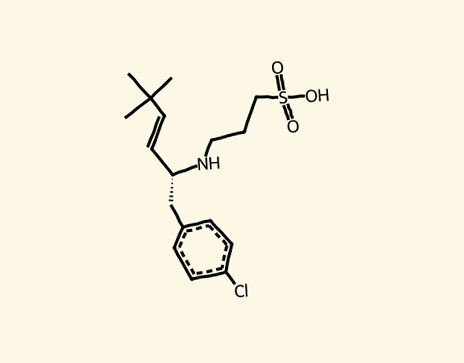 CC(C)(C)/C=C/[C@@H](Cc1ccc(Cl)cc1)NCCCS(=O)(=O)O